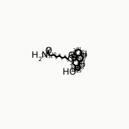 C[C@]12C[C@H](OCCCCCCCC(N)=O)[C@H]3[C@@H](CC[C@H]4CCCC(=O)[C@@]43C)[C@@H]1CC[C@@H]2O